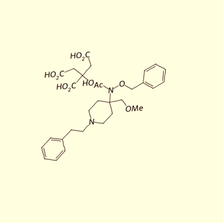 COCC1(N(OCc2ccccc2)C(C)=O)CCN(CCc2ccccc2)CC1.O=C(O)CC(O)(CC(=O)O)C(=O)O